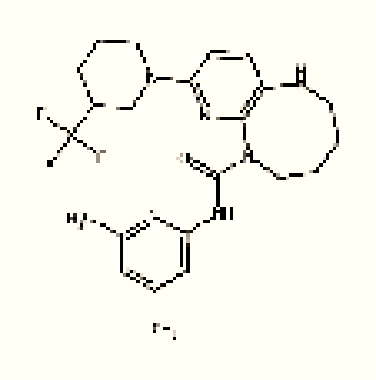 Cc1cc(C)nc(NC(=O)N2CCCCNc3ccc(N4CCCC(C(F)(F)F)C4)nc32)c1